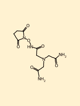 NC(=O)CN(CC(N)=O)CC(=O)NON1C(=O)CCC1=O